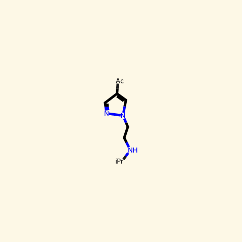 CC(=O)c1cnn(CCNC(C)C)c1